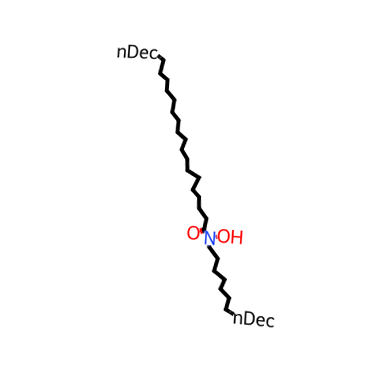 CCCCCCCCCCCCCCCCCCCCCCCCCCCC(=O)N(O)CCCCCCCCCCCCCCCCC